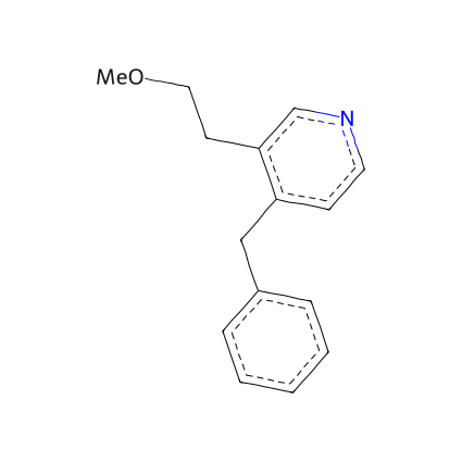 COCCc1cnccc1Cc1ccccc1